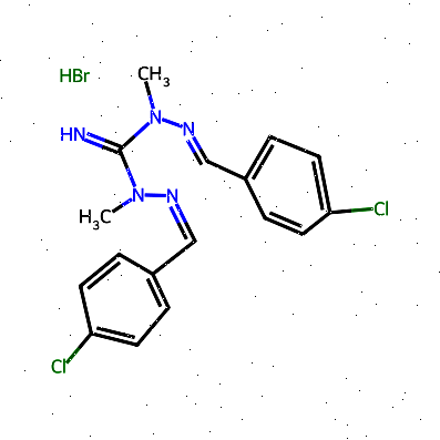 Br.CN(N=Cc1ccc(Cl)cc1)C(=N)N(C)N=Cc1ccc(Cl)cc1